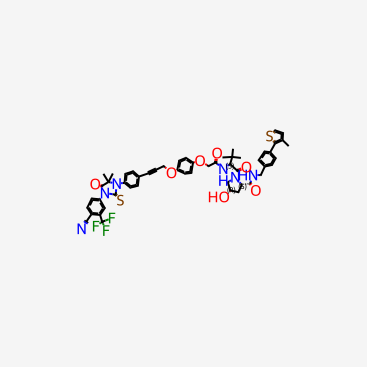 Cc1ccsc1-c1ccc(CNC(=O)[C@@H]2C[C@@H](O)CN2C(=O)[C@@H](NC(=O)COc2ccc(OCC#Cc3ccc(N4C(=S)N(c5ccc(C#N)c(C(F)(F)F)c5)C(=O)C4(C)C)cc3)cc2)C(C)(C)C)cc1